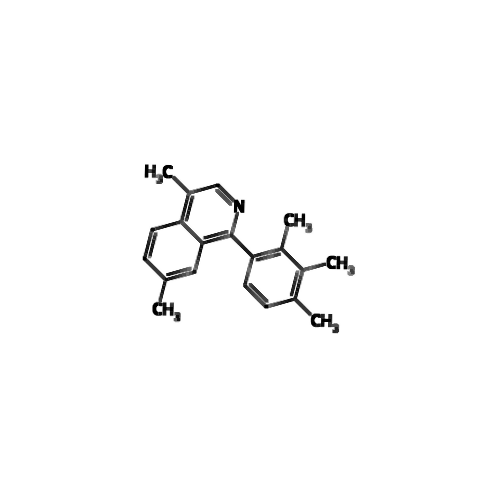 Cc1ccc2c(C)cnc(-c3ccc(C)c(C)c3C)c2c1